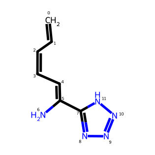 C=C/C=C\C=C(/N)c1nnn[nH]1